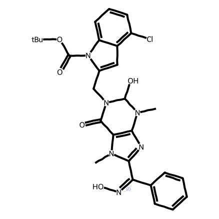 CN1c2nc(/C(=N\O)c3ccccc3)n(C)c2C(=O)N(Cc2cc3c(Cl)cccc3n2C(=O)OC(C)(C)C)C1O